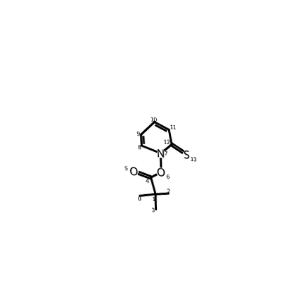 CC(C)(C)C(=O)On1ccccc1=S